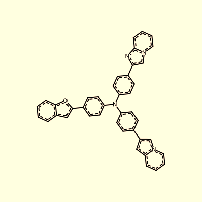 c1ccc2oc(-c3ccc(N(c4ccc(-c5cc6ccccn6c5)cc4)c4ccc(-c5cn6ccccc6n5)cc4)cc3)cc2c1